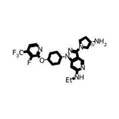 CCNc1cc2c(cn1)c(N1CC[C@H](N)C1)nn2[C@H]1CC[C@@H](Oc2nccc(C(F)(F)F)c2F)CC1